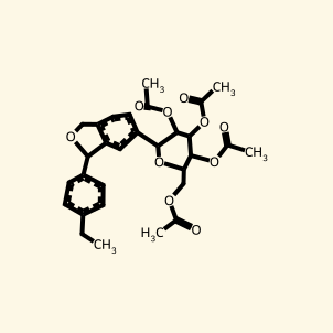 CCc1ccc(C2OCc3ccc(C4OC(COC(C)=O)C(OC(C)=O)C(OC(C)=O)C4OC(C)=O)cc32)cc1